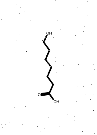 O=C(O)CCC[CH]CCO